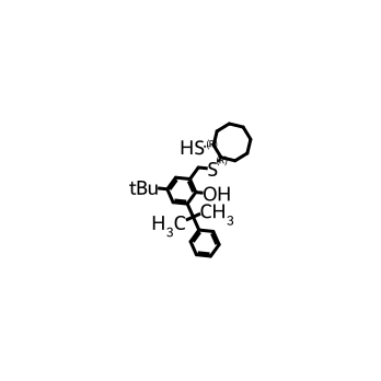 CC(C)(C)c1cc(CS[C@@H]2CCCCCC[C@H]2S)c(O)c(C(C)(C)c2ccccc2)c1